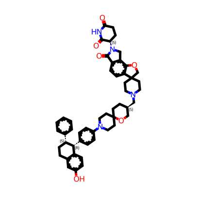 O=C1CC[C@H](N2Cc3c(ccc4c3OCC43CCN(C[C@@H]4CCC5(CCN(c6ccc([C@@H]7c8ccc(O)cc8CC[C@@H]7c7ccccc7)cc6)CC5)OC4)CC3)C2=O)C(=O)N1